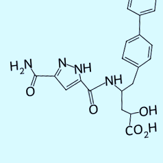 NC(=O)c1cc(C(=O)NC(Cc2ccc(-c3ccccc3)cc2)CC(O)C(=O)O)[nH]n1